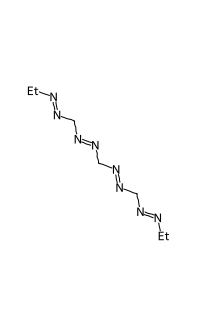 CCN=NCN=NCN=NCN=NCC